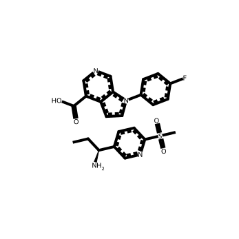 CC[C@H](N)c1ccc(S(C)(=O)=O)nc1.O=C(O)c1cncc2c1ccn2-c1ccc(F)cc1